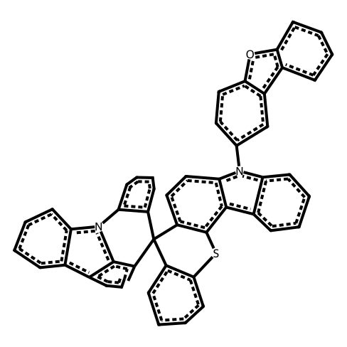 c1ccc2c(c1)Sc1c(ccc3c1c1ccccc1n3-c1ccc3oc4ccccc4c3c1)C21c2ccccc2-n2c3ccccc3c3cccc1c32